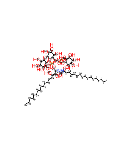 CCCCCCCCCCCCCCCCC(O)C(=O)N[C@@H](COP(=O)(O)O[C@H]1C(O)C(O)C(O)[C@@H](O)C1O[C@H]1O[C@H](COP(=O)(O)OC2C(O)C(O)C(O)[C@@H](O)C2O)[C@@H](O)C(O)C1O)[C@H](O)[C@H](O)CCCCCCCCCCCCCC